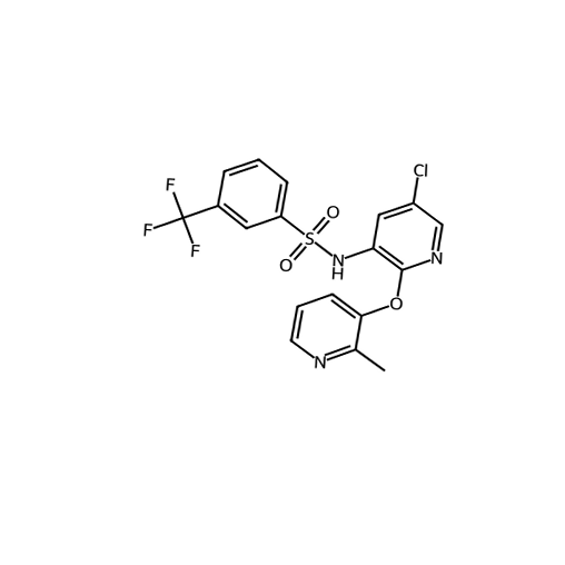 Cc1ncccc1Oc1ncc(Cl)cc1NS(=O)(=O)c1cccc(C(F)(F)F)c1